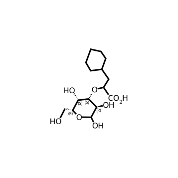 O=C(O)C(CC1CCCCC1)O[C@H]1[C@@H](O)[C@@H](CO)OC(O)[C@@H]1O